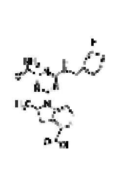 CC1Cc2c(C(=O)O)cccc2N1c1nc(NCc2cccc(F)c2)nc(C(N)=O)n1